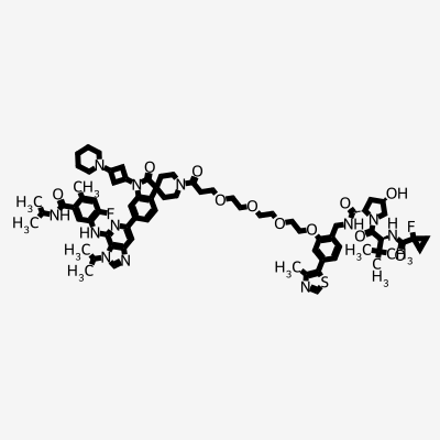 Cc1cc(F)c(Nc2nc(-c3ccc4c(c3)N(C3CC(N5CCCCC5)C3)C(=O)C43CCN(C(=O)CCOCCOCCOCCOc4cc(-c5scnc5C)ccc4CNC(=O)[C@@H]4C[C@@H](O)CN4C(=O)[C@@H](NC(=O)C4(F)CC4)C(C)(C)C)CC3)cc3ncn(C(C)C)c23)cc1C(=O)NC(C)C